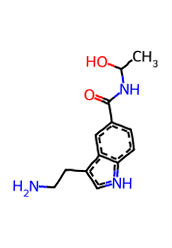 CC(O)NC(=O)c1ccc2[nH]cc(CCN)c2c1